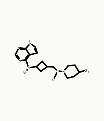 CN(c1ncnc2[nH]ccc12)C1CC(C[S+]([O-])N2CCC(C(F)(F)F)CC2)C1